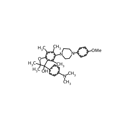 COc1ccc(N2CCN(c3c(C)c(C)c4c(c3C)C(O)(c3ccc(N(C)C)cc3)C(C)(C)O4)CC2)cc1